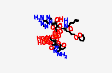 C=CCCC(=O)N[C@@H](CCCCOC1CCCCO1)C(O)O[C@@H]1C(COP(=O)(O)O[C@@H]2C(COP(=O)(O)O)OC[C@@]2(OC2CCCO2)n2ccc(N)nc2=O)O[C@@H](n2cnc3c(N)ncnc32)[C@@H]1O